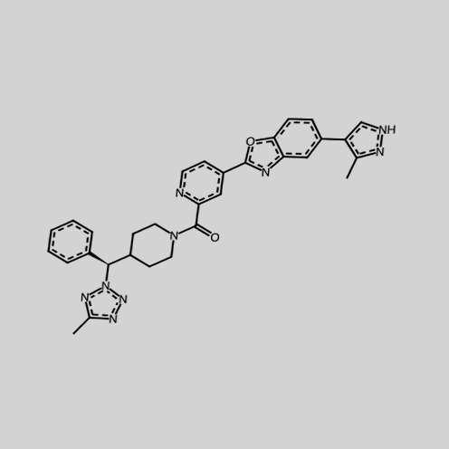 Cc1nnn([C@@H](c2ccccc2)C2CCN(C(=O)c3cc(-c4nc5cc(-c6c[nH]nc6C)ccc5o4)ccn3)CC2)n1